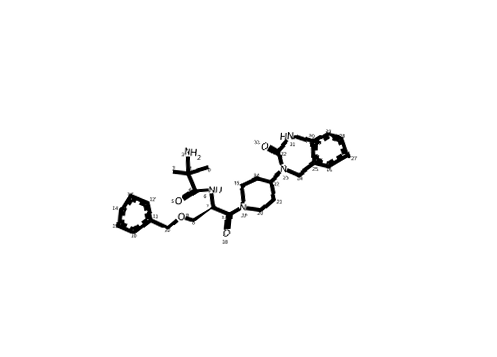 CC(C)(N)C(=O)N[C@H](COCc1ccccc1)C(=O)N1CCC(N2Cc3ccccc3NC2=O)CC1